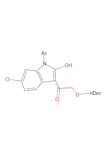 CCCCCCCCCCOCC(=O)c1c(O)n(C(C)=O)c2cc(Cl)ccc12